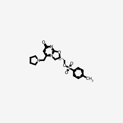 Cc1ccc(S(=O)(=O)OC[C@@H]2Cn3c(CN4CCCC4)cc(=O)nc3O2)cc1